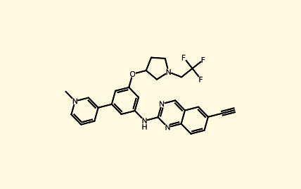 C#Cc1ccc2nc(Nc3cc(OC4CCN(CC(F)(F)F)C4)cc(C4=CN(C)C=C=C4)c3)ncc2c1